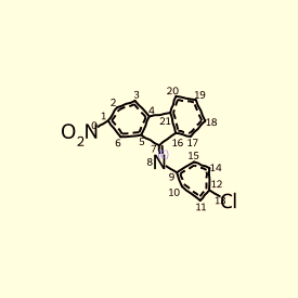 O=[N+]([O-])c1ccc2c(c1)/C(=N/c1ccc(Cl)cc1)c1ccccc1-2